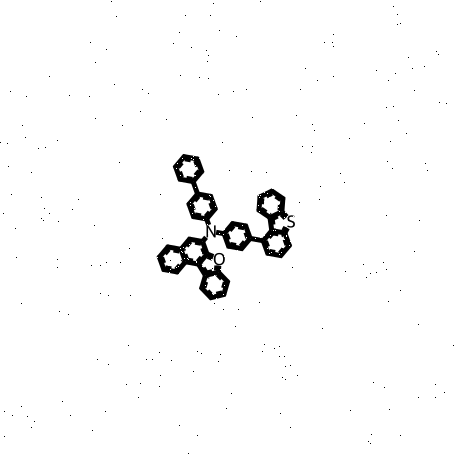 c1ccc(-c2ccc(N(c3ccc(-c4cccc5sc6ccccc6c45)cc3)c3cc4ccccc4c4c3oc3ccccc34)cc2)cc1